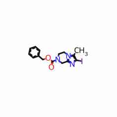 Cc1c(I)nc2n1CCN(C(=O)OCc1ccccc1)C2